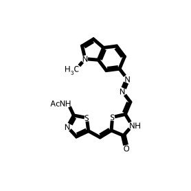 CC(=O)Nc1ncc(C=c2sc(=CN=Nc3ccc4ccn(C)c4c3)[nH]c2=O)s1